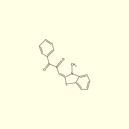 CN1C(=CC(=O)C(=O)c2ccccc2)Sc2ccccc21